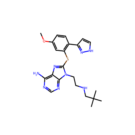 COc1ccc(-c2cc[nH]n2)c(Sc2nc3c(N)ncnc3n2CCNCC(C)(C)C)c1